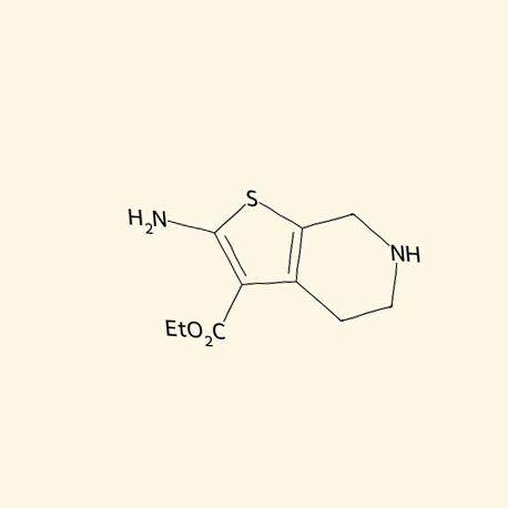 CCOC(=O)c1c(N)sc2c1CCNC2